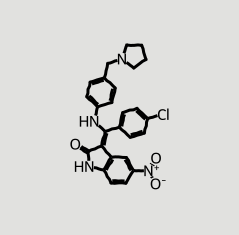 O=C1Nc2ccc([N+](=O)[O-])cc2/C1=C(/Nc1ccc(CN2CCCC2)cc1)c1ccc(Cl)cc1